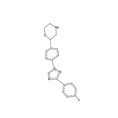 Fc1ccc(-c2ncn(-c3ccc(C4CNCCO4)cc3)n2)cc1